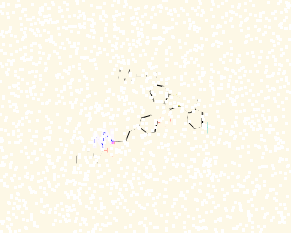 CCCc1nnc(C=Cc2ccc(Oc3c(-c4ccc(F)cc4C)sc4cc(OC)ccc34)cc2)o1